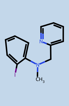 CN(Cc1ccccn1)c1ccccc1I